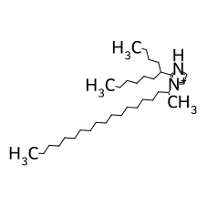 CCCCCCCCCCCCCCCCCC(C)[n+]1cc[nH]c1C(CCCC)CCCCCC